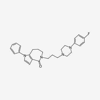 O=C1c2ccn(-c3ccccc3)c2CCCN1CCCN1CCN(c2ccc(F)cc2)CC1